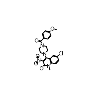 COc1ccc(C(=O)N2CCN(c3c([N+](=O)[O-])c(=O)n(C)c4ccc(Cl)cc34)CC2)cc1